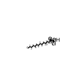 CCCCCCCCCCCCCC(=O)N(O)Cl